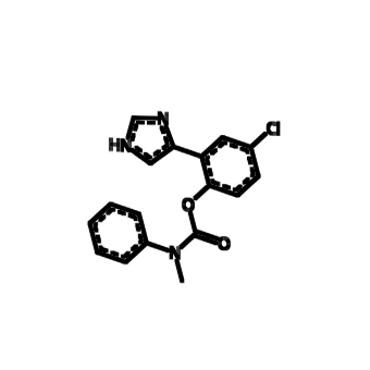 CN(C(=O)Oc1ccc(Cl)cc1-c1c[nH]cn1)c1ccccc1